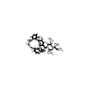 C=CC(O)N1C[C@H](C)N(c2nc(=O)n3c4nc(c(F)cc24)-c2c(F)cccc2NCCCSc2ccnc(C(C)C)c2-3)C[C@H]1C